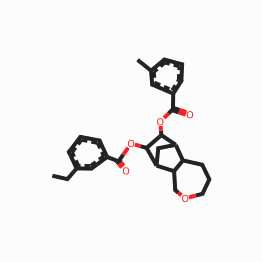 CCc1cccc(C(=O)OC2C3CC(C4CCCOCC43)C2OC(=O)c2cccc(C)c2)c1